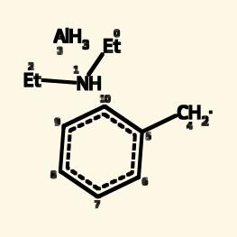 CCNCC.[AlH3].[CH2]c1ccccc1